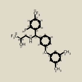 Cc1cc(C)cc(Oc2cccc(C(NC[C@@H](O)C(F)(F)F)c3ccc(C(F)(F)F)cc3F)c2)c1